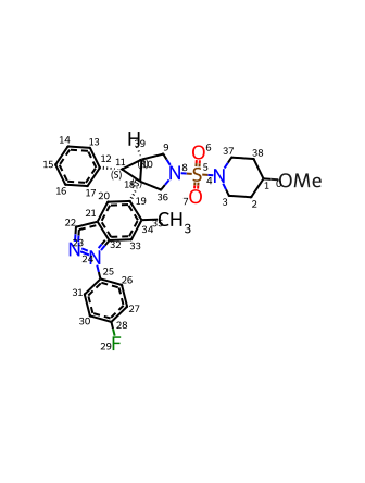 COC1CCN(S(=O)(=O)N2C[C@@H]3[C@@H](c4ccccc4)[C@]3(c3cc4cnn(-c5ccc(F)cc5)c4cc3C)C2)CC1